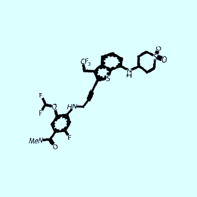 CNC(=O)c1cc(OC(F)F)c(NCC#Cc2sc3c(NC4CCS(=O)(=O)CC4)cccc3c2CC(F)(F)F)cc1F